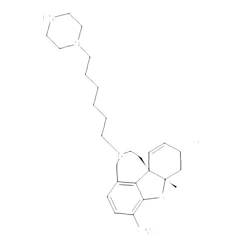 COc1ccc2c3c1O[C@H]1C[C@@H](O)C=C[C@@]31CCN(CCCCCCN1CCNCC1)C2